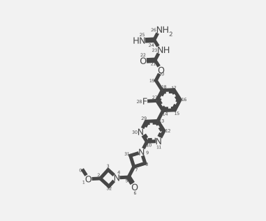 COC1CN(C(=O)C2CN(c3ncc(-c4cccc(COC(=O)NC(=N)N)c4F)cn3)C2)C1